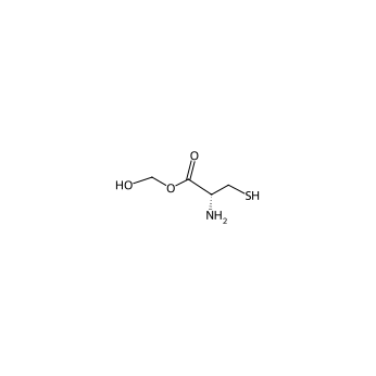 N[C@@H](CS)C(=O)OCO